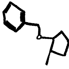 C[C@@H]1CCCC1OCc1ccccc1